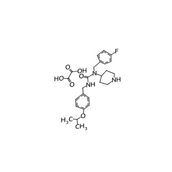 CC(C)Oc1ccc(CNC(=O)N(Cc2ccc(F)cc2)C2CCNCC2)cc1.O=C(O)C(=O)O